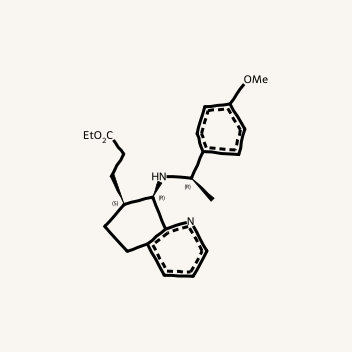 CCOC(=O)CC[C@@H]1CCc2cccnc2[C@@H]1N[C@H](C)c1ccc(OC)cc1